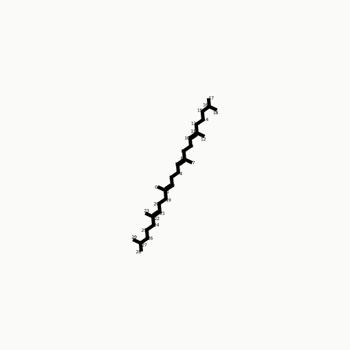 C/C(=C\CC/C=C(\C)CC/C=C(\C)CCCC(C)C)CC/C=C(\C)CCCC(C)C